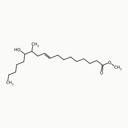 CCCCCC(O)C(C)CC=CCCCCCCCC(=O)OC